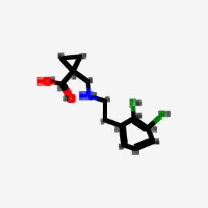 O=C(O)C1(CNCCc2cccc(F)c2F)CC1